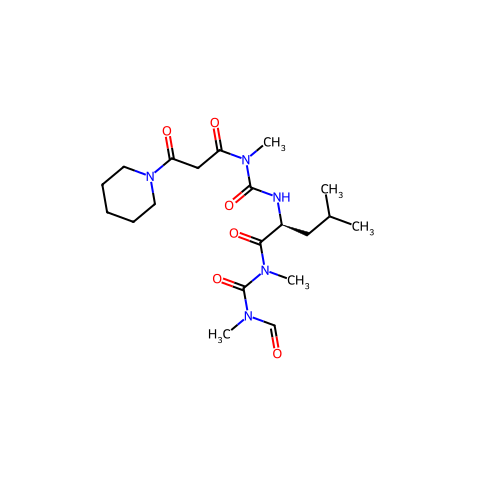 CC(C)C[C@H](NC(=O)N(C)C(=O)CC(=O)N1CCCCC1)C(=O)N(C)C(=O)N(C)C=O